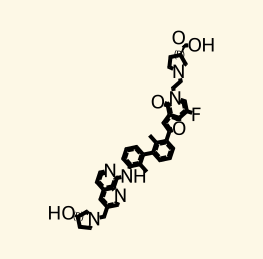 Cc1c(Nc2nccc3cc(CN4CC[C@@H](O)C4)cnc23)cccc1-c1cccc(-c2cc3c(=O)n(CCN4CC[C@@H](C(=O)O)C4)cc(F)c3o2)c1C